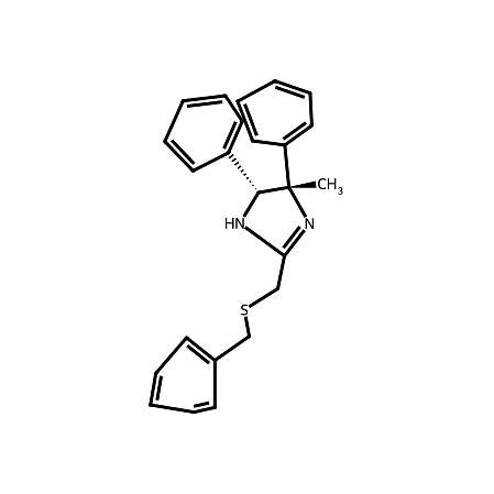 C[C@@]1(c2ccccc2)N=C(CSCc2ccccc2)N[C@@H]1c1ccccc1